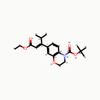 CCOC(=O)C=C(c1ccc2c(c1)OCCN2C(=O)OC(C)(C)C)C(C)C